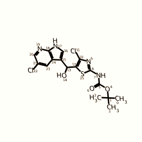 CC(C)(C)OC(=O)Nc1nc(Cl)c(C(O)c2c[nH]c3ncc(Cl)cc23)s1